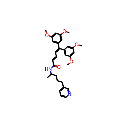 COc1cc(OC)cc(C(=C/C=C/C(=O)NC(C)CCCc2cccnc2)c2cc(OC)cc(OC)c2)c1